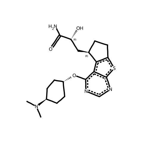 CN(C)[C@H]1CC[C@H](Oc2ncnc3sc4c(c23)[C@@H](C[C@@H](O)C(N)=O)CC4)CC1